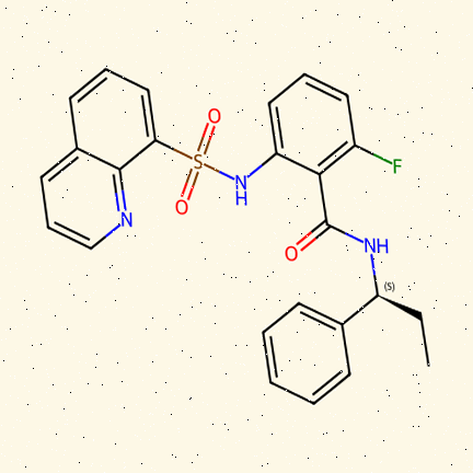 CC[C@H](NC(=O)c1c(F)cccc1NS(=O)(=O)c1cccc2cccnc12)c1ccccc1